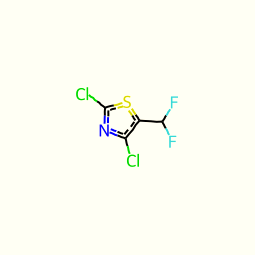 FC(F)c1sc(Cl)nc1Cl